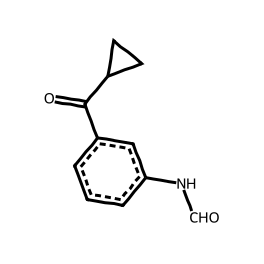 O=CNc1cccc(C(=O)C2CC2)c1